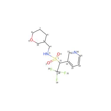 O=S(=O)(NCC1CCCOC1)C(c1cccnc1)C(F)(F)F